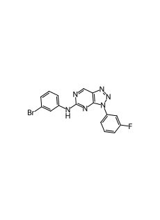 Fc1cccc(-n2nnc3cnc(Nc4cccc(Br)c4)nc32)c1